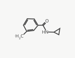 [CH2]c1cccc(C(=O)NC2CC2)c1